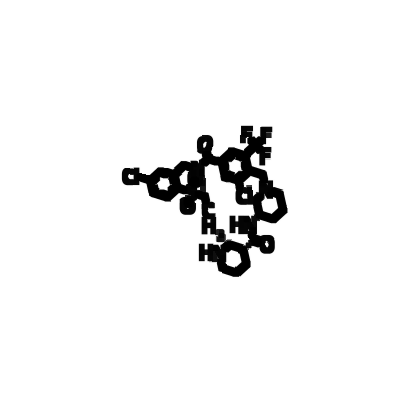 CCS(=O)(=O)c1ccc(Cl)cc1CNC(=O)c1cc(Cl)c(CN2CCC[C@H](NC(=O)[C@@H]3CCCNC3)C2)c(C(F)(F)F)c1